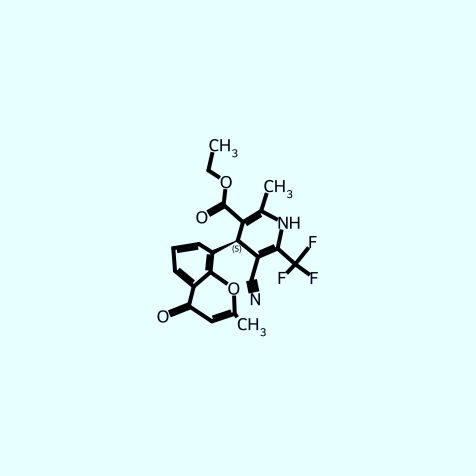 CCOC(=O)C1=C(C)NC(C(F)(F)F)=C(C#N)[C@H]1c1cccc2c(=O)cc(C)oc12